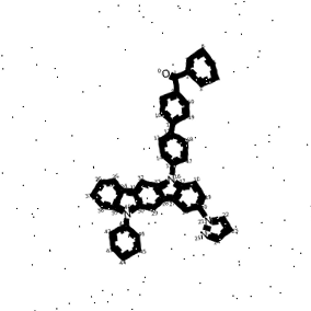 O=C(c1ccccc1)c1ccc(-c2ccc(-n3c4ccc(-n5cccn5)cc4c4cc5c(cc43)c3ccccc3n5-c3ccccc3)cc2)cc1